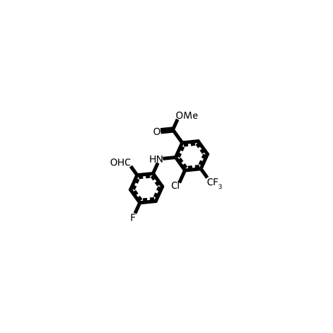 COC(=O)c1ccc(C(F)(F)F)c(Cl)c1Nc1ccc(F)cc1C=O